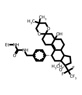 CCNC(=O)NCc1ccc([C@H]2C[C@@]3(C)C(CC[C@@]3(O)C(F)(F)C(F)(F)F)C3CCC4(O)CC5(CCC4=C32)OCC(C)(C)CO5)cc1